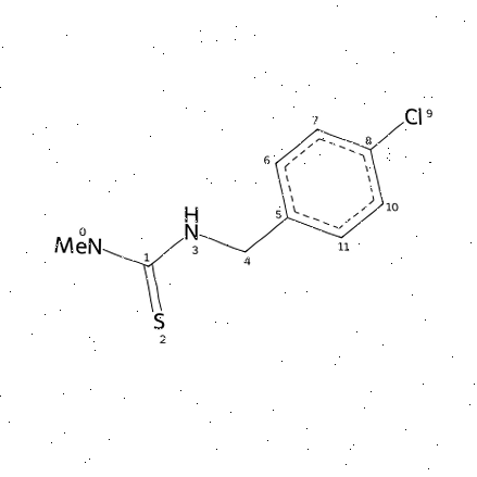 CNC(=S)NCc1ccc(Cl)cc1